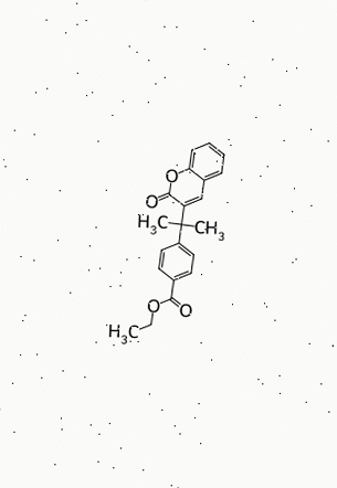 CCOC(=O)c1ccc(C(C)(C)c2cc3ccccc3oc2=O)cc1